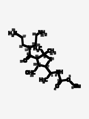 CC(NC(=O)OC(C)(C)C)C1SC(C)(C)[C@H](C(=O)N(CCN)CCN)N1C=O